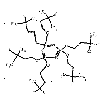 FC(F)(F)C(F)(CCOP1(OCCC(F)(C(F)(F)F)C(F)(F)F)=NP(OCCC(F)(C(F)(F)F)C(F)(F)F)(OCCC(F)(C(F)(F)F)C(F)(F)F)=NP(OCCC(F)(C(F)(F)F)C(F)(F)F)(OCCC(F)(C(F)(F)F)C(F)(F)F)=N1)C(F)(F)F